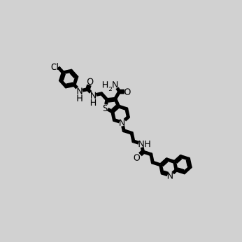 NC(=O)c1c(CNC(=O)Nc2ccc(Cl)cc2)sc2c1CCN(CCCNC(=O)CCc1cnc3ccccc3c1)C2